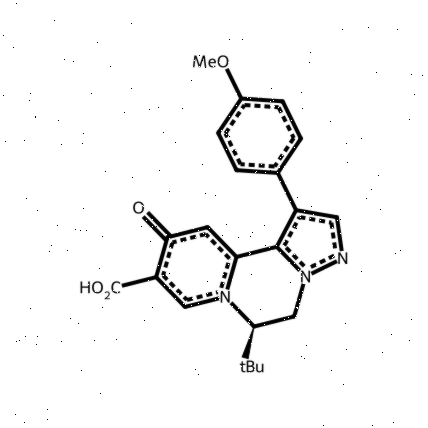 COc1ccc(-c2cnn3c2-c2cc(=O)c(C(=O)O)cn2[C@H](C(C)(C)C)C3)cc1